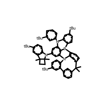 CC(C)(C)c1cccc(N2c3cc(C(C)(C)C)ccc3B3c4ccc5cc4N(c4ccc(C(C)(C)C)cc4-c4cccc(c4)C5(C)C)c4cc(N5c6ccc(C(C)(C)C)cc6C6(C)CCC56C)cc2c43)c1